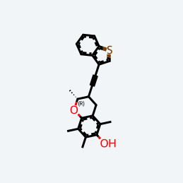 Cc1c(C)c2c(c(C)c1O)CC(C#Cc1csc3ccccc13)[C@@H](C)O2